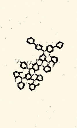 Fc1cccc(F)c1N(c1ccccc1)c1cc2c3c(c1)N(c1c(F)cccc1F)c1ccccc1B3c1cc3c(c(C(F)(F)F)c1N2c1ccc(C(F)(F)F)cc1)Sc1cc(N(c2ccc(-c4ccccc4)cc2)c2ccc(-c4ccccc4)cc2)cc2c1B3c1ccccc1N2c1c(F)cccc1F